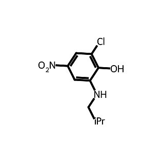 CC(C)CNc1cc([N+](=O)[O-])cc(Cl)c1O